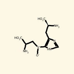 NC(C[S+]([O-])c1[nH]cnc1C[C@H](N)C(=O)O)C(=O)O